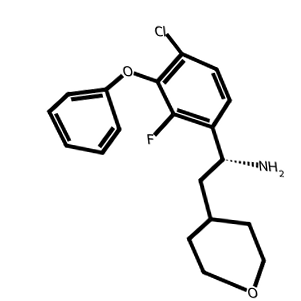 N[C@H](CC1CCOCC1)c1ccc(Cl)c(Oc2ccccc2)c1F